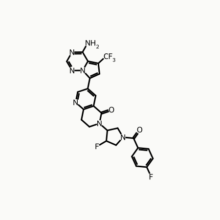 Nc1ncnn2c(-c3cnc4c(c3)C(=O)N(C3CN(C(=O)c5ccc(F)cc5)CC3F)CC4)cc(C(F)(F)F)c12